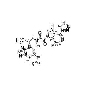 C[C@H]1CN(C(=O)C(=O)c2c[nH]c3c(-n4ccnn4)ncc(F)c23)CCN1c1nnnn1-c1ccccc1